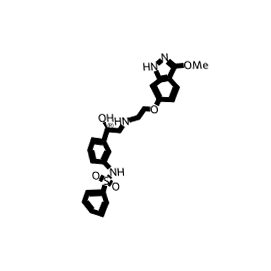 COc1n[nH]c2cc(OCCNC[C@H](O)c3cccc(NS(=O)(=O)c4ccccc4)c3)ccc12